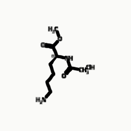 COC(=O)[C@H](CCCCN)NC(C)=O.Cl